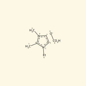 CC[n+]1ccn(C)c1C.O=C([O-])O